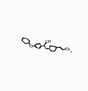 C#CC(CC1CCC(CCC)CC1)c1ccc(OC2CCCCC2)cc1